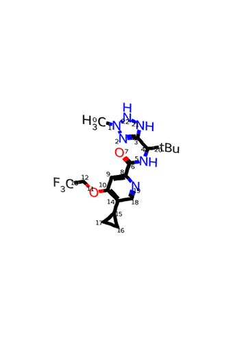 CN1N=C(C(NC(=O)c2cc(OCC(F)(F)F)c(C3CC3)cn2)C(C)(C)C)NN1